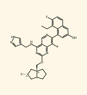 CCc1c(F)ccc2cc(O)cc(-c3ncc4c(NCc5cn[nH]c5)nc(OC[C@@]56CCCN5C[C@H](F)C6)nc4c3F)c12